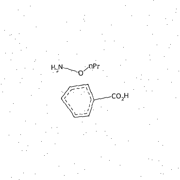 CCCON.O=C(O)c1ccccc1